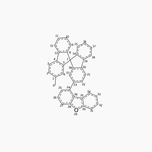 Cc1ccc2c(c1)C1(c3ccccc3-2)c2ccccc2-c2ccc(-c3cccc4oc5ccccc5c34)cc21